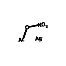 CC(=O)O[N+](=O)[O-].[Ag]